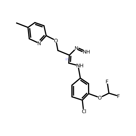 Cc1ccc(OC/C(=C/Nc2ccc(Cl)c(OC(F)F)c2)N=N)nc1